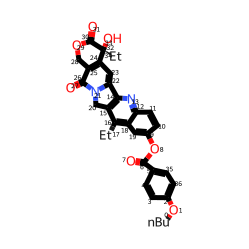 CCCCOc1ccc(C(=O)Oc2ccc3nc4c(c(CC)c3c2)Cn2c-4cc3c(c2=O)COC(=O)[C@]3(O)CC)cc1